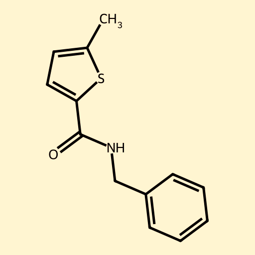 Cc1ccc(C(=O)NCc2ccccc2)s1